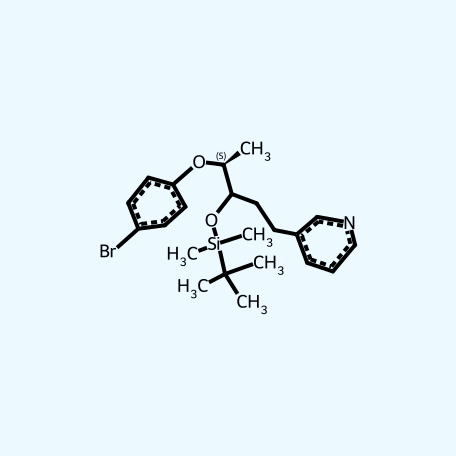 C[C@H](Oc1ccc(Br)cc1)C(CCc1cccnc1)O[Si](C)(C)C(C)(C)C